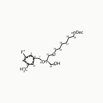 [CH2]c1cc(F)cc(CO[C@H](CO)COCCCCCCCCCCCCCCCC)c1